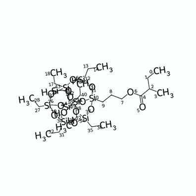 CCC(C)C(=O)OCCC[Si]12O[SiH](CC)O[Si](CC)(O[Si](O)(CC)O1)O[Si]1(CC)O[SiH](CC)O[Si](CC)(O2)O[Si](CC)(O[SiH3])O1